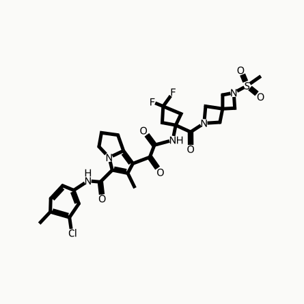 Cc1ccc(NC(=O)c2c(C)c(C(=O)C(=O)NC3(C(=O)N4CC5(C4)CN(S(C)(=O)=O)C5)CC(F)(F)C3)c3n2CCC3)cc1Cl